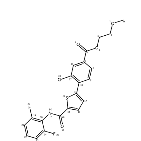 COCCOC(=O)c1ccc(-c2ccc(C(=O)Nc3c(F)cccc3F)s2)c(Cl)c1